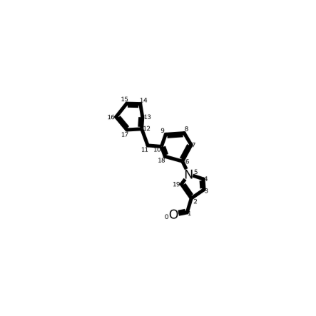 O=Cc1ccn(-c2cccc(Cc3ccccc3)c2)c1